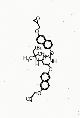 CC(C)(C)CC(C)(C)NC1=NN(Oc2ccc3cc(OCC4CO4)ccc3c2)NC(Oc2ccc3cc(OCC4CO4)ccc3c2)=C1